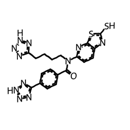 O=C(c1ccc(-c2nn[nH]n2)cc1)N(CCCCc1nn[nH]n1)c1ccc2nc(S)sc2n1